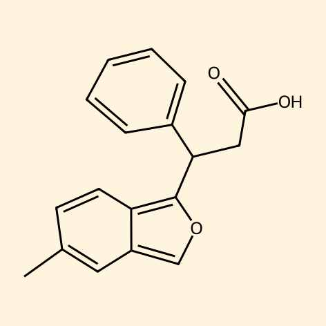 Cc1ccc2c(C(CC(=O)O)c3ccccc3)occ2c1